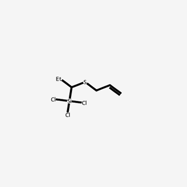 C=CCSC(CC)[Si](Cl)(Cl)Cl